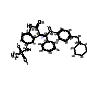 CS(=O)(=O)Nc1ccc2c(c1)/C(=C(/Nc1ccc(CN3CCCCC3)cc1)c1ccccc1)C(=O)N2